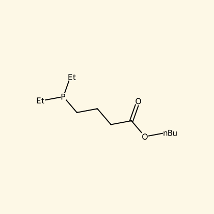 CCCCOC(=O)CCCP(CC)CC